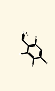 C=Cc1c(F)cc(F)c(F)c1F